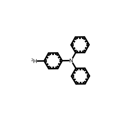 [2H]c1ccc(N(c2ccccc2)c2ccccc2)cc1